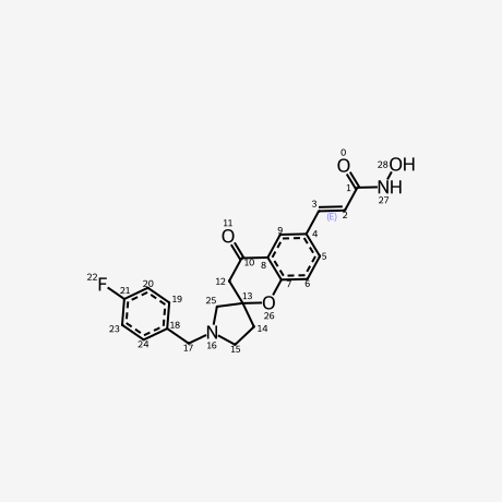 O=C(/C=C/c1ccc2c(c1)C(=O)CC1(CCN(Cc3ccc(F)cc3)C1)O2)NO